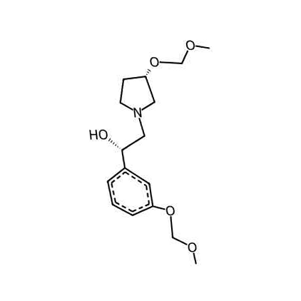 COCOc1cccc([C@H](O)CN2CC[C@H](OCOC)C2)c1